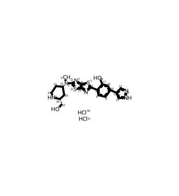 CN(c1nc2sc(-c3ccc(-c4cn[nH]c4)cc3O)nc2s1)[C@H]1CCN[C@@H](CO)C1.Cl.Cl